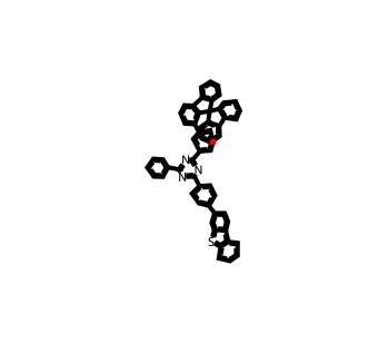 c1ccc(-c2nc(-c3ccc(-c4ccc5c(c4)sc4ccccc45)cc3)nc(-c3cccc(-c4cccc5c4C4(c6ccccc6-c6ccccc64)c4ccccc4-5)c3)n2)cc1